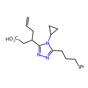 C=CCC(CC(=O)O)c1nnc(CCCC(C)C)n1C1CC1